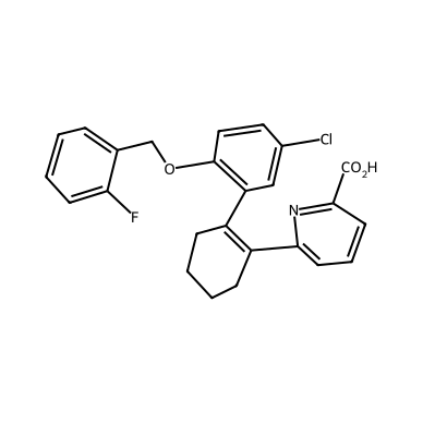 O=C(O)c1cccc(C2=C(c3cc(Cl)ccc3OCc3ccccc3F)CCCC2)n1